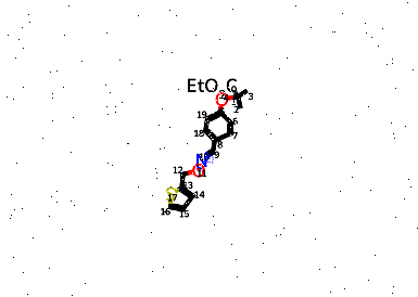 CCOC(=O)C(C)(C)Oc1ccc(/C=N/OCc2cccs2)cc1